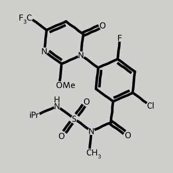 COc1nc(C(F)(F)F)cc(=O)n1-c1cc(C(=O)N(C)S(=O)(=O)NC(C)C)c(Cl)cc1F